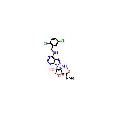 CNC(=O)[C@H]1OC[C@@](O)(n2cnc3c(NCc4cc(Cl)ccc4Cl)ncnc32)[C@@H]1N